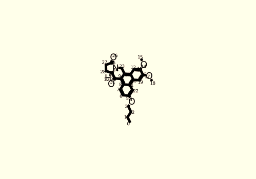 CCCCOc1ccc2c3c(c4cc(OC)c(OC)cc4c2c1)CN1C(=O)CC[C@H]1C3=O